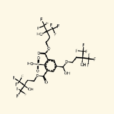 O=C(OCCC(O)(C(F)(F)F)C(F)(F)F)c1cc(C(O)OCCC(O)(C(F)(F)F)C(F)(F)F)cc(C(=O)OCCC(O)(C(F)(F)F)C(F)(F)F)c1S(=O)(=O)O